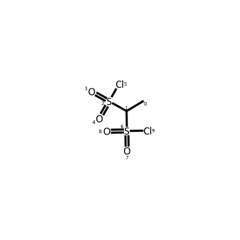 CC(S(=O)(=O)Cl)S(=O)(=O)Cl